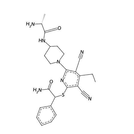 CCc1c(C#N)c(SC(C(N)=O)c2ccccc2)nc(N2CCC(NC(=O)[C@@H](C)N)CC2)c1C#N